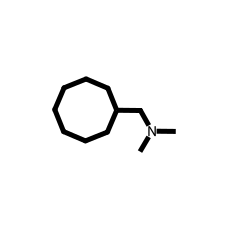 CN(C)CC1CCCCCCC1